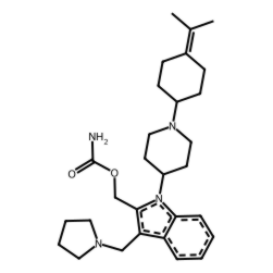 CC(C)=C1CCC(N2CCC(n3c(COC(N)=O)c(CN4CCCC4)c4ccccc43)CC2)CC1